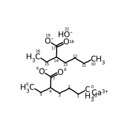 CCCCC(CC)C(=O)[O-].CCCCC(CC)C(=O)[O-].[Ga+3].[OH-]